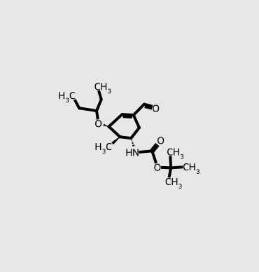 CCC(CC)O[C@@H]1C=C(C=O)C[C@H](NC(=O)OC(C)(C)C)[C@H]1C